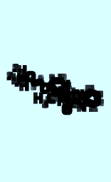 [2H]C([2H])([2H])OCCOc1ccnc(C([2H])([2H])[S+]([O-])c2nc3ccccc3[nH]2)c1C